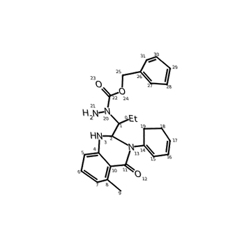 CCC(C1Nc2cccc(C)c2C(=O)N1C1=CC=CCC1)N(N)C(=O)OCc1ccccc1